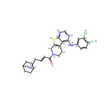 O=C(/C=C/CN1CC2CCC1CC2)N1CCc2c(sc3ncnc(Nc4ccc(F)c(Cl)c4)c23)C1